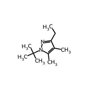 CCc1nn(C(C)(C)C)c(C)c1C